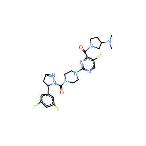 CN(C)C1CCN(C(=O)c2nc(N3CCN(C(=O)N4N=CCC4c4cc(F)cc(F)c4)CC3)ncc2F)C1